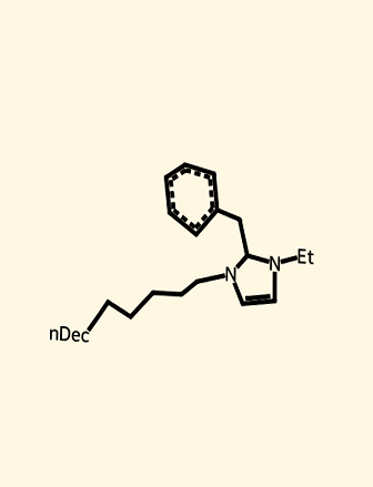 CCCCCCCCCCCCCCCN1C=CN(CC)C1Cc1ccccc1